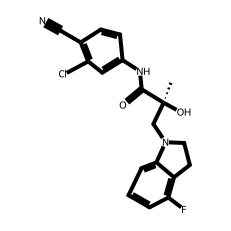 C[C@](O)(CN1CCc2c(F)cccc21)C(=O)Nc1ccc(C#N)c(Cl)c1